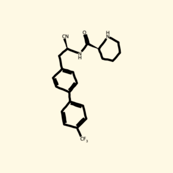 N#C[C@H](Cc1ccc(-c2ccc(C(F)(F)F)cc2)cc1)NC(=O)[C@@H]1CCCCN1